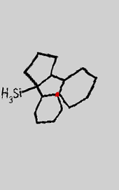 [SiH3]C1(C2CCCCC2)CCCC1C1CCCCC1